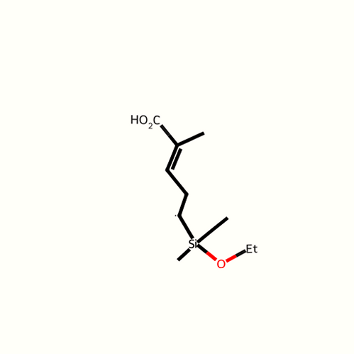 CCO[Si](C)(C)[CH]CC=C(C)C(=O)O